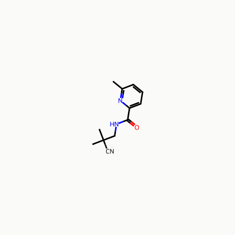 Cc1cccc(C(=O)NCC(C)(C)C#N)n1